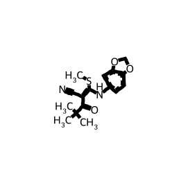 CSC(Nc1ccc2c(c1)OCO2)=C(C#N)C(=O)C(C)(C)C